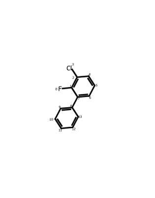 Fc1c(Cl)cccc1-c1ccccc1